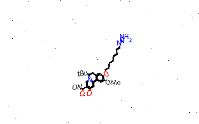 COc1cc2c(cc1OCCCCCCCCN=NN)CC(C(C)(C)C)n1cc(C(=O)N=O)c(=O)cc1-2